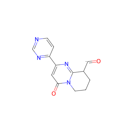 O=[C]C1CCCn2c1nc(-c1ccncn1)cc2=O